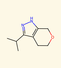 CC(C)c1n[nH]c2c1CCOC2